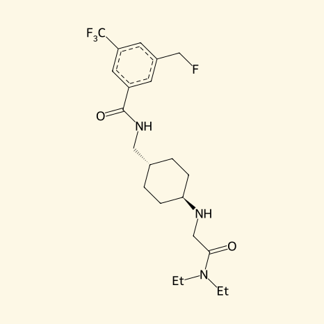 CCN(CC)C(=O)CN[C@H]1CC[C@H](CNC(=O)c2cc(CF)cc(C(F)(F)F)c2)CC1